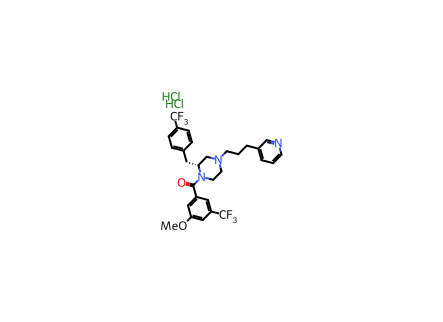 COc1cc(C(=O)N2CCN(CCCc3cccnc3)C[C@H]2Cc2ccc(C(F)(F)F)cc2)cc(C(F)(F)F)c1.Cl.Cl